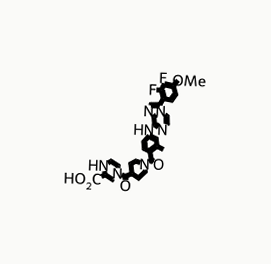 COc1ccc(-c2cnc3c(Nc4ccc(C(=O)N5CCC(C(=O)N6CCNC(C(=O)O)C6)CC5)c(C)c4)nccn23)c(F)c1F